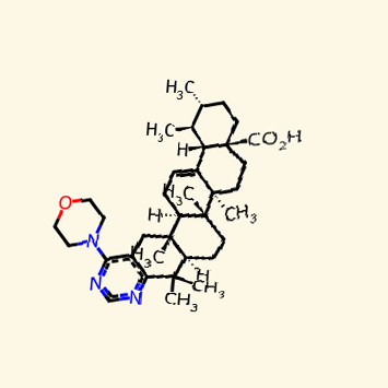 C[C@H]1[C@H](C)CC[C@]2(C(=O)O)CC[C@]3(C)C(=CC[C@@H]4[C@@]5(C)Cc6c(N7CCOCC7)ncnc6C(C)(C)[C@@H]5CC[C@]43C)[C@H]12